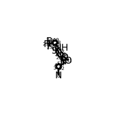 N#Cc1cccc(CN2CC3(CCN(C(=S)Nc4cccc(C(F)(F)F)c4)CC3)OC2=O)c1